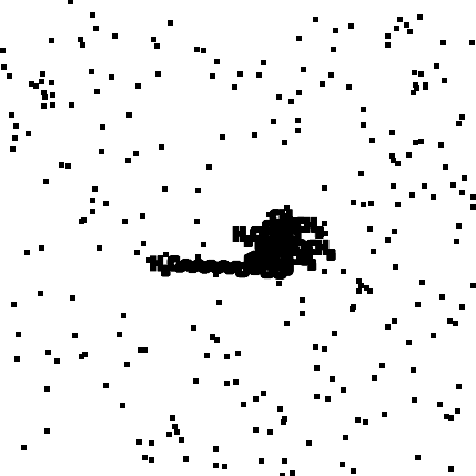 CCCCCCCCCCCOc1ccc2c(O[C@@H]3O[C@H](COC(C)=O)[C@@H](OC(C)=O)[C@H](OC(C)=O)[C@H]3OC(C)=O)c(OC(C)=O)c(=O)oc2c1